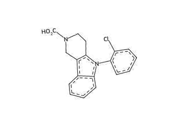 O=C(O)N1CCc2c(c3ccccc3n2-c2ccccc2Cl)C1